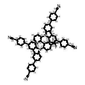 N#Cc1ccc(-c2ccc3c(c2)c2cc(-c4ccc(C#N)cc4)ccc2n3-c2ccc(C(F)(F)F)cc2-c2ncccc2-n2c3ccc(-c4ccc(C#N)cc4)cc3c3cc(-c4ccc(C#N)cc4)ccc32)cc1